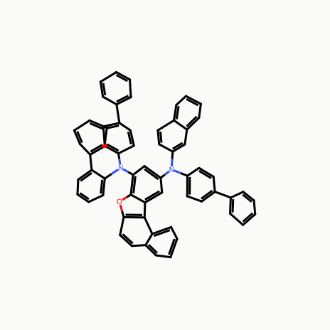 c1ccc(-c2ccc(N(c3ccc4ccccc4c3)c3cc(N(c4ccc(-c5ccccc5)cc4)c4ccccc4-c4ccccc4)c4oc5ccc6ccccc6c5c4c3)cc2)cc1